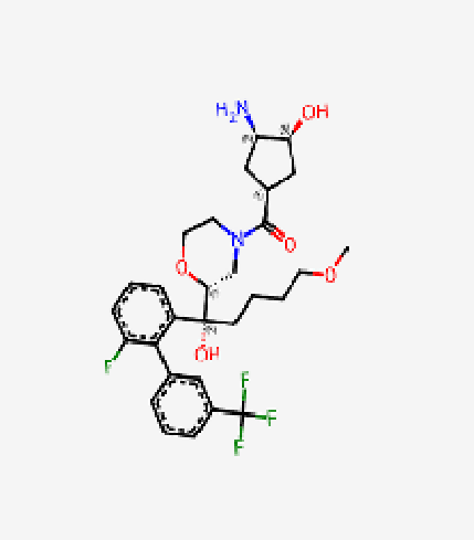 COCCCC[C@@](O)(c1cccc(F)c1-c1cccc(C(F)(F)F)c1)[C@H]1CN(C(=O)[C@H]2C[C@@H](N)[C@@H](O)C2)CCO1